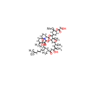 CC/C(C)=C/C=C/C=C/[C@@H](C)C[C@@H](C)C(=O)C[C@H](O)/C(C)=C/[C@@H](C)C(=O)CC(OC(=O)[C@@H]1CCCCN1C(=O)C(=O)[C@]1(O)OCCC[C@H]1C)[C@H](C)C[C@@H]1CCC(OC(=O)CO)[C@H](OC)C1